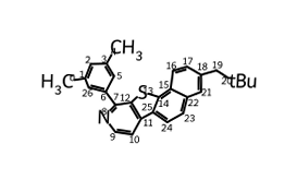 Cc1cc(C)cc(-c2nccc3c2sc2c4ccc(CC(C)(C)C)cc4ccc32)c1